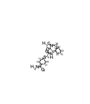 CN(C(=O)C(NC(=O)CSc1ccc(C(N)=O)cc1)c1ccccc1)C1CC1